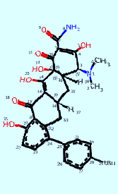 CN(C)[C@@H]1C(O)=C(C(N)=O)C(=O)[C@@]2(O)C(O)=C3C(=O)c4c(O)ccc(-c5ccc(C(C)(C)C)cc5)c4C[C@H]3C[C@@H]12